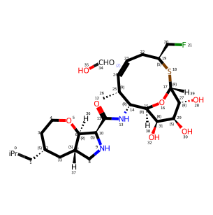 CC(C)C[C@@H]1CCO[C@@H]2[C@H](CN[C@@H]2C(=O)N[C@H]2[C@H]3O[C@H](S[C@H](CF)C/C=C\[C@H]2C)[C@H](O)[C@@H](O)[C@H]3O)C1.O=CO